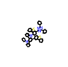 c1ccc(-c2nc(-c3ccccc3)nc(-c3ccc(-n4c5ccccc5c5c4c(-c4ccc6sc7ccccc7c6c4)cc4c6ccccc6n(-c6ccccc6)c45)c4c3sc3ccccc34)n2)cc1